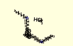 CCC.CCCCCCCC/C=C\CCCCCCCC(=O)OC(OC(=O)CCCCCCC/C=C\CCCCCCCC)N(C)C.Cl